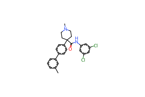 Cc1cccc(-c2ccc(C3(C(=O)Nc4cc(Cl)cc(Cl)c4)CCN(C)CC3)cc2)c1